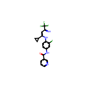 N=C(/C=C(\Nc1ccc(NC(=O)c2cccnc2)cc1F)C1CC1)C(F)(F)F